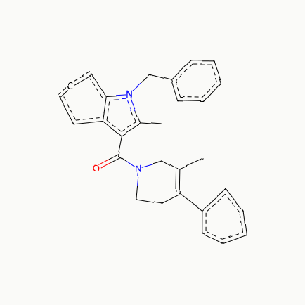 CC1=C(c2ccccc2)CCN(C(=O)c2c(C)n(Cc3ccccc3)c3ccccc23)C1